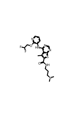 Cc1c(C(=O)NCCCN(C)C)sc2ncnc(Nc3cccnc3OCC(F)F)c12